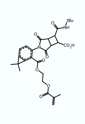 C=C(C)C(=O)OCCOC(=O)c1c(N2C(=O)C3C(C(=O)O)C(C(=O)NC(C)(C)C)C3C2=O)ccc2c1C2(C)C